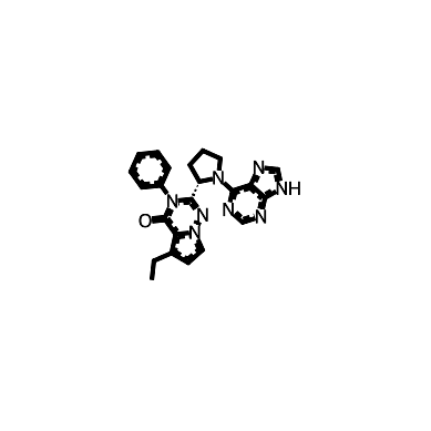 CCc1ccn2nc([C@@H]3CCCN3c3ncnc4[nH]cnc34)n(-c3ccccc3)c(=O)c12